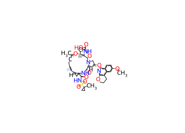 COc1ccc2c(O[C@@H]3C[C@H]4C(=O)N[C@]5(C(=O)NS(=O)(=O)C6(C)CC6)C[C@H]5/C=C\CC[C@@H](C)O[C@@H](C)[C@H](NC(=O)O)C(=O)N4C3)nc3c(c2c1)CCCO3